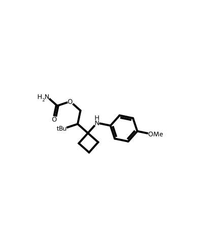 COc1ccc(NC2(C(COC(N)=O)C(C)(C)C)CCC2)cc1